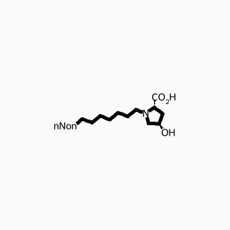 CCCCCCCCCCCCCCCCN1C[C@H](O)C[C@H]1C(=O)O